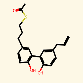 C=CCc1ccc(O)c(-c2cc(CCCSC(C)=O)ccc2O)c1